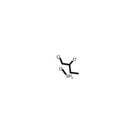 CCC(Cl)CCl.[SiH3]Cl